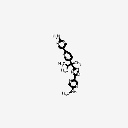 CNc1cnc(-c2nc(C(C)(c3ccc(-c4cnc(N)nc4)nc3)C(C)C)no2)cn1